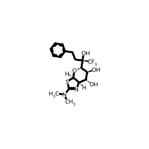 CN(C)C1=N[C@@H]2[C@@H](O)[C@H](O)[C@@H]([C@@](O)(CCc3ccccc3)C(F)(F)F)O[C@@H]2S1